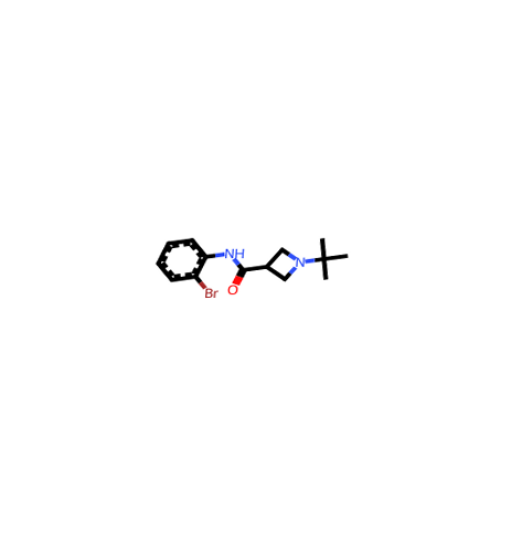 CC(C)(C)N1CC(C(=O)Nc2ccccc2Br)C1